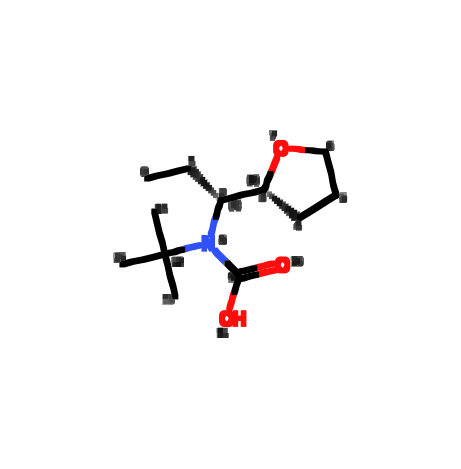 CC[C@H]([C@H]1CCCO1)N(C(=O)O)C(C)(C)C